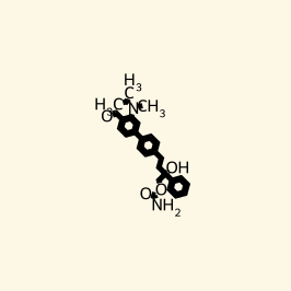 CC(C)N(C)c1cc(-c2ccc(CC[C@](O)(COC(N)=O)c3ccccc3)cc2)ccc1C=O